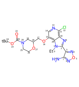 CCn1c(-c2nonc2N)nc2c(Cl)ncc(OCC3CN(C(=O)OC(C)(C)C)CCO3)c21